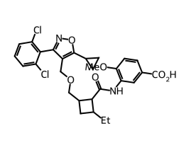 CCC1CC(COCc2c(-c3c(Cl)cccc3Cl)noc2C2CC2)C1C(=O)Nc1cc(C(=O)O)ccc1OC